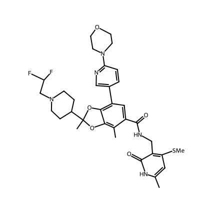 CSc1cc(C)[nH]c(=O)c1CNC(=O)c1cc(-c2ccc(N3CCOCC3)nc2)c2c(c1C)OC(C)(C1CCN(CC(F)F)CC1)O2